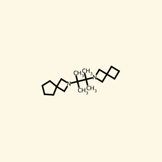 CC(C)(N1CC2(CCCC2)C1)C(C)(C)N1CC2(CCC2)C1